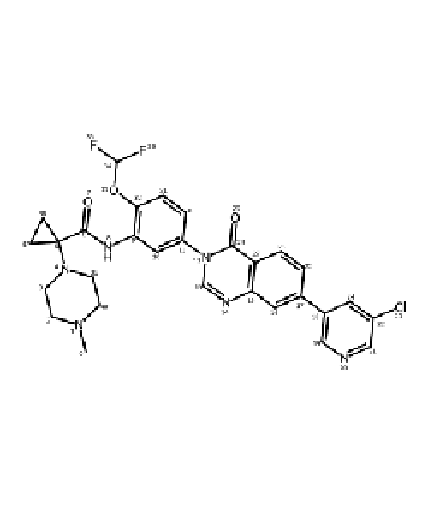 CN1CCN(C2(C(=O)Nc3cc(-n4cnc5cc(-c6cncc(Cl)c6)ccc5c4=O)ccc3OC(F)F)CC2)CC1